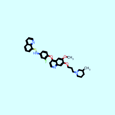 COc1cc2c(Oc3ccc(NSc4cccc5cccnc45)cc3F)ccnc2cc1OCCCN1CCCC(C)C1